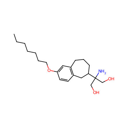 CCCCCCCOc1ccc2c(c1)CCCC(C(N)(CO)CO)C2